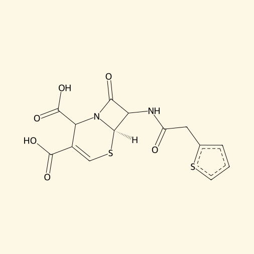 O=C(Cc1cccs1)NC1C(=O)N2C(C(=O)O)C(C(=O)O)=CS[C@H]12